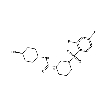 O=C(N[C@H]1CC[C@H](O)CC1)[C@H]1CCCN(S(=O)(=O)c2ccc(F)cc2F)C1